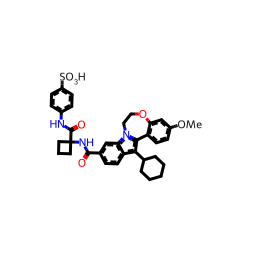 COc1ccc2c(c1)OCCn1c-2c(C2CCCCC2)c2ccc(C(=O)NC3(C(=O)Nc4ccc(S(=O)(=O)O)cc4)CCC3)cc21